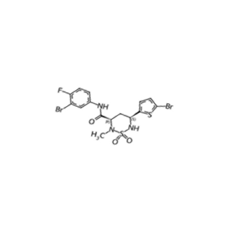 CN1[C@@H](C(=O)Nc2ccc(F)c(Br)c2)C[C@@H](c2ccc(Br)s2)NS1(=O)=O